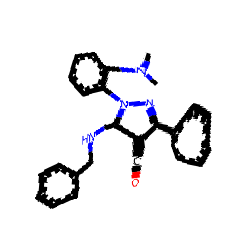 CN(C)c1ccccc1N1N=C(c2ccccc2)C(=C=O)C1NCc1ccccc1